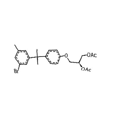 CC(=O)OC[C@H](COc1ccc(C(C)(C)c2cc(C)cc(Br)c2)cc1)OC(C)=O